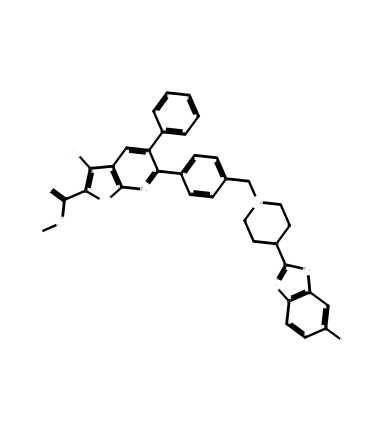 COC(=O)c1oc2nc(-c3ccc(CN4CCC(c5nc6ccc(F)cc6[nH]5)CC4)cc3)c(-c3ccccc3)cc2c1N